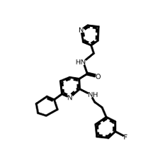 O=C(NCc1cccnc1)c1ccc(C2=CCCCC2)nc1NCCc1cccc(F)c1